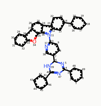 c1ccc(C2=NC(c3ccc(-n4c5cc(-c6ccccc6)ccc5c5ccc6c7ccccc7oc6c54)nc3)NC(c3ccccc3)=N2)cc1